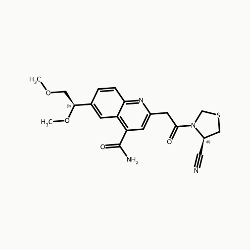 COC[C@H](OC)c1ccc2nc(CC(=O)N3CSC[C@H]3C#N)cc(C(N)=O)c2c1